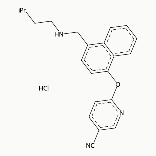 CC(C)CCNCc1ccc(Oc2ccc(C#N)cn2)c2ccccc12.Cl